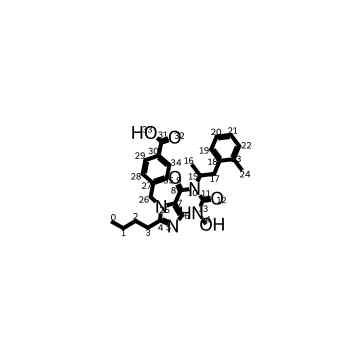 CCCCc1ncc(C(=O)N(C(=O)NO)C(C)Cc2ccccc2C)n1Cc1ccc(C(=O)O)cc1